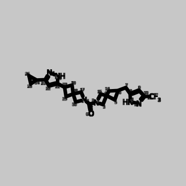 O=C(N1CC2(CC(Cc3cc(C(F)(F)F)n[nH]3)C2)C1)N1CC2(CC(c3cc(C4CC4)n[nH]3)C2)C1